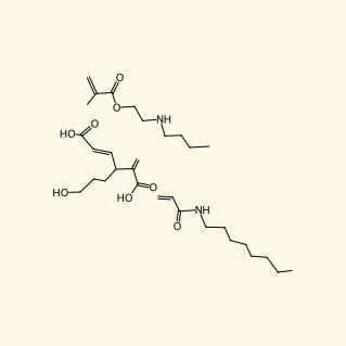 C=C(C(=O)O)C(C=CC(=O)O)CCCO.C=C(C)C(=O)OCCNCCCC.C=CC(=O)NCCCCCCCC